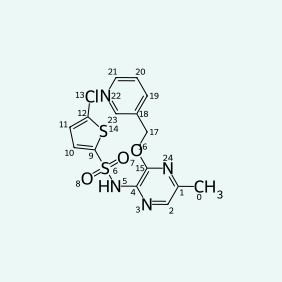 Cc1cnc(NS(=O)(=O)c2ccc(Cl)s2)c(OCc2cccnc2)n1